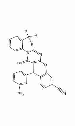 N#Cc1ccc2c(c1)Oc1ncn(-c3ccccc3C(F)(F)F)c(=N)c1C2c1cccc(N)c1